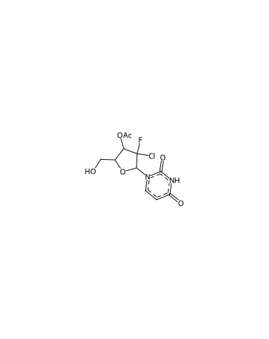 CC(=O)OC1C(CO)OC(n2ccc(=O)[nH]c2=O)C1(F)Cl